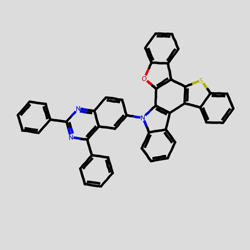 c1ccc(-c2nc(-c3ccccc3)c3cc(-n4c5ccccc5c5c6c7ccccc7sc6c6c7ccccc7oc6c54)ccc3n2)cc1